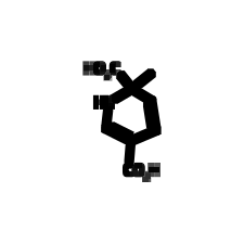 CC1(C(=O)O)C=CC(C(=O)O)=CN1